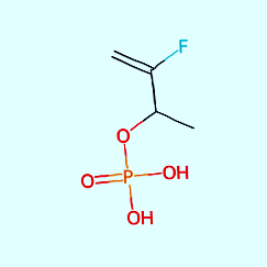 C=C(F)C(C)OP(=O)(O)O